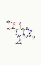 COC(=O)C1CN(C2CC2)c2cc(Cl)ncc2C1=O